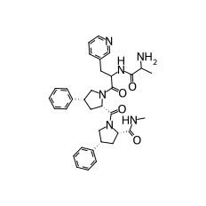 CNC(=O)[C@@H]1C[C@H](c2ccccc2)CN1C(=O)[C@@H]1C[C@H](c2ccccc2)CN1C(=O)C(Cc1cccnc1)NC(=O)C(C)N